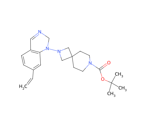 C=Cc1ccc2c(c1)N(N1CC3(CCN(C(=O)OC(C)(C)C)CC3)C1)CN=C2